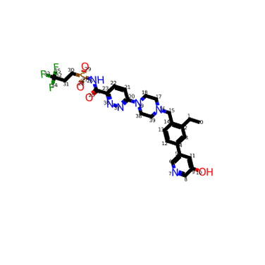 CCc1cc(-c2cncc(O)c2)ccc1CN1CCN(c2ccc(C(=O)NS(=O)(=O)CCC(F)(F)F)nn2)CC1